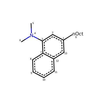 CCCCCCCCc1cc(N(C)C)c2ccccc2c1